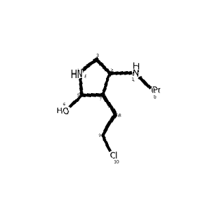 CC(C)NC1CNC(O)C1CCCl